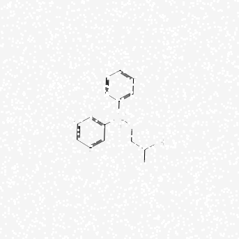 CC(O)CO[SiH](c1ccccc1)c1ccccc1